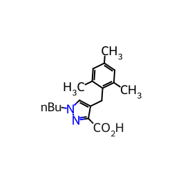 CCCCn1cc(Cc2c(C)cc(C)cc2C)c(C(=O)O)n1